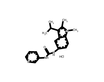 Cc1c(C(C)C)c2cc(NC(=O)Nc3cccnc3)ccc2n1C.Cl